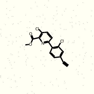 C#Cc1ccc(-c2ccc(Cl)c(C(=O)OC)n2)c(Cl)c1